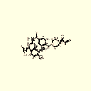 C=CC(=O)N1CCN(Cc2ccc(C(C)Nc3nc(N(C)C)c4ccc(=O)n(C(C)C)c4n3)cc2)CC1